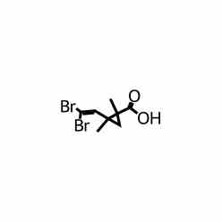 CC1(C=C(Br)Br)CC1(C)C(=O)O